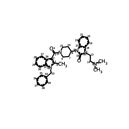 Cc1c(C(=O)N2CCC(n3c(=O)n(CCN(C)C)c4ccccc43)CC2)c2ccccc2n1Cc1ccccc1